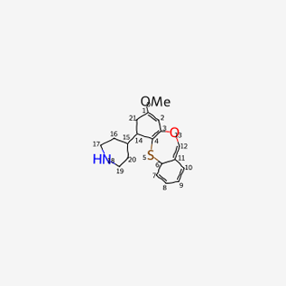 COC1=CC2=C(SC3C=CC=CC3=CO2)C(C2CCNCC2)C1